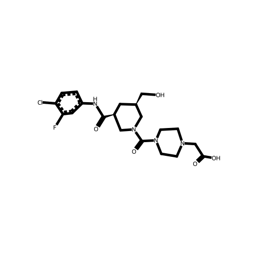 O=C(O)CN1CCN(C(=O)N2C[C@H](CO)C[C@H](C(=O)Nc3ccc(Cl)c(F)c3)C2)CC1